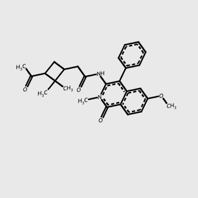 COc1ccc2c(=O)n(C)c(NC(=O)CC3CC(C(C)=O)C3(C)C)c(-c3ccccc3)c2c1